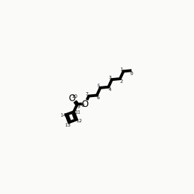 CCCCCCCCOC(=O)C1=CC=C1